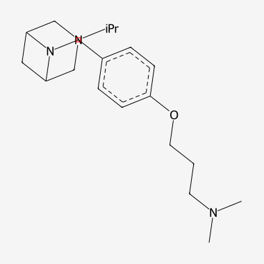 CC(C)N1CC2CC(C1)N2Cc1ccc(OCCCN(C)C)cc1